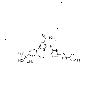 CC(C)(O)c1ccc(-c2cc(C(N)=O)c(Nc3cccc(CNC4CCNC4)n3)s2)c(F)c1